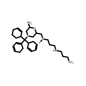 CCCCNCCC[N]([Y])CC1CN(C(C2=CC=CCC2)(C2C=CC=CC2)C2C=CCCC2)CC(P)O1